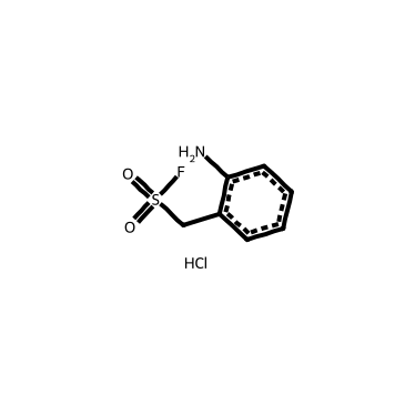 Cl.Nc1ccccc1CS(=O)(=O)F